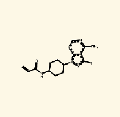 C=CC(=O)NC1CCC(n2nc(I)c3c(N)ncnc32)CC1